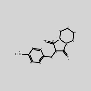 O=Cc1ccc(CC2C(=O)N3CCCCN3C2=O)cc1